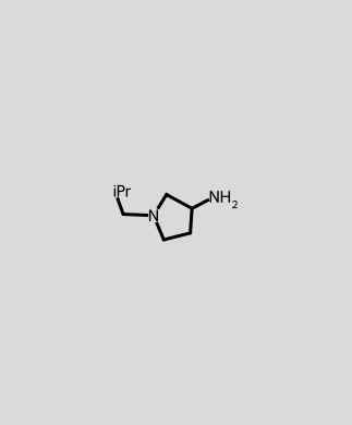 CC(C)CN1CCC(N)C1